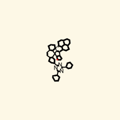 C1=Cc2ccc(-c3nc(-c4ccccc4)nc(-c4ccccc4)n3)cc2C2(c3ccccc31)c1ccccc1-c1c2cc2ccc3cccc4ccc1c2c34